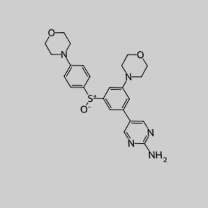 Nc1ncc(-c2cc(N3CCOCC3)cc([S+]([O-])c3ccc(N4CCOCC4)cc3)c2)cn1